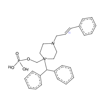 O=P(O)(O)OC[N+]1(C(c2ccccc2)c2ccccc2)CCN(C/C=C/c2ccccc2)CC1